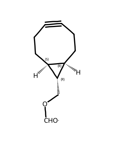 O=[C]OC[C@H]1[C@@H]2CCC#CCC[C@@H]21